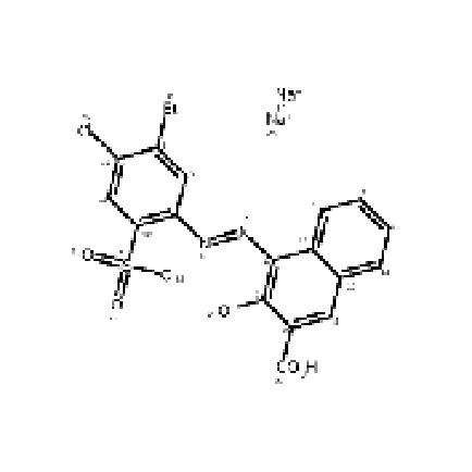 CCc1cc(N=Nc2c([O-])c(C(=O)O)cc3ccccc23)c(S(=O)(=O)[O-])cc1Cl.[Na+].[Na+]